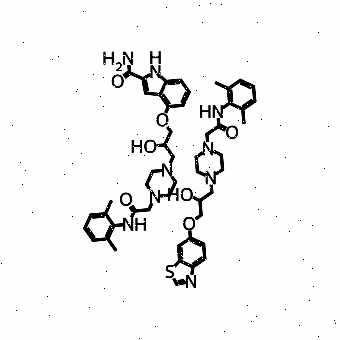 Cc1cccc(C)c1NC(=O)CN1CCN(CC(O)COc2ccc3ncsc3c2)CC1.Cc1cccc(C)c1NC(=O)CN1CCN(CC(O)COc2cccc3[nH]c(C(N)=O)cc23)CC1